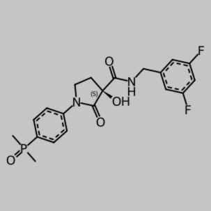 CP(C)(=O)c1ccc(N2CC[C@](O)(C(=O)NCc3cc(F)cc(F)c3)C2=O)cc1